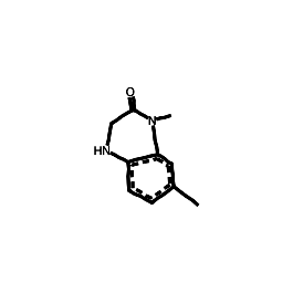 Cc1ccc2c(c1)N(C)C(=O)CN2